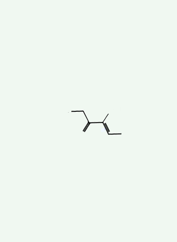 C/C=C(\C(=O)O)C(=O)CBr